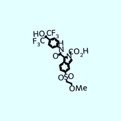 COCCS(=O)(=O)c1ccc2c(C(=O)Nc3ccc(C(O)(C(F)(F)F)C(F)(F)F)cc3)n(C(=O)O)cc2c1